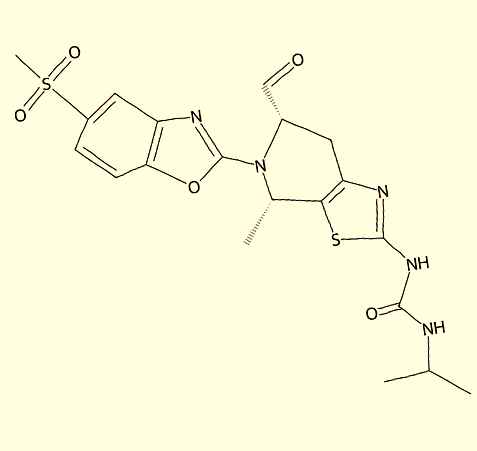 CC(C)NC(=O)Nc1nc2c(s1)[C@H](C)N(c1nc3cc(S(C)(=O)=O)ccc3o1)[C@H](C=O)C2